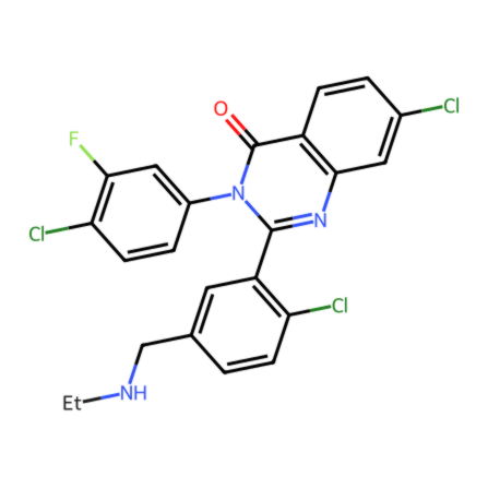 CCNCc1ccc(Cl)c(-c2nc3cc(Cl)ccc3c(=O)n2-c2ccc(Cl)c(F)c2)c1